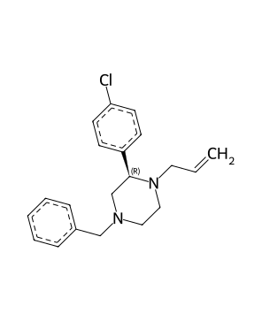 C=CCN1CCN(Cc2ccccc2)C[C@H]1c1ccc(Cl)cc1